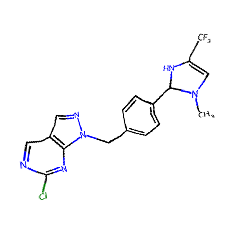 CN1C=C(C(F)(F)F)NC1c1ccc(Cn2ncc3cnc(Cl)nc32)cc1